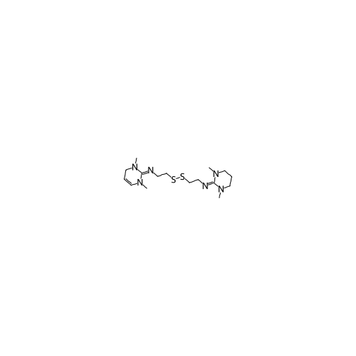 CN1C=CCN(C)C1=NCCSSCCN=C1N(C)CCCN1C